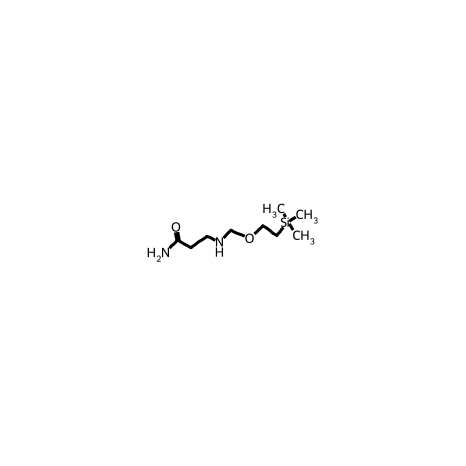 C[Si](C)(C)CCOCNCCC(N)=O